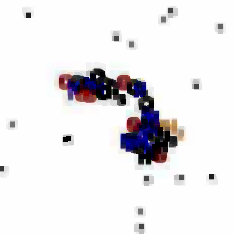 CC(P)c1nn([C@H]2CC[C@H](CN3CCC(OCC#Cc4cccc5c4n(C)c(=O)n5C4CCC(=O)N(I)C4=O)CC3)CC2)cc1NC(=O)c1cnn2ccc(N3C[C@H]4C[C@@H]3CO4)nc12